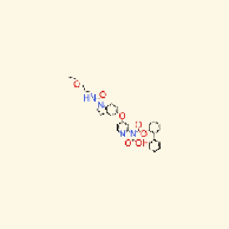 CCOCCCNC(=O)n1ccc2cc(Oc3ccnc(N(C(=O)O)C(=O)Oc4ccccc4-c4ccccc4)c3)ccc21